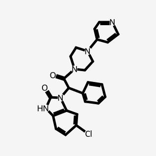 O=C(C(c1ccccc1)n1c(=O)[nH]c2ccc(Cl)cc21)N1CCN(c2ccncc2)CC1